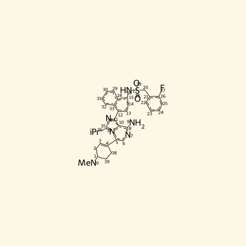 CNC1CC=C(c2cnc(N)c3c(-c4ccc(NS(=O)(=O)Cc5ccccc5F)c5ccccc45)nc(C(C)C)n23)CC1